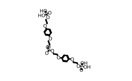 O=[PH](OCCOc1ccc(OCCOP(=O)(O)O)cc1)OCCOc1ccc(OCCOP(=O)(O)O)cc1